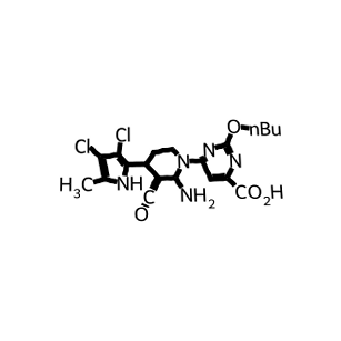 CCCCOc1nc(C(=O)O)cc(N2CCC(c3[nH]c(C)c(Cl)c3Cl)C(=C=O)C2N)n1